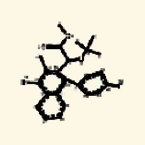 COC(=O)C(OC(C)(C)C)c1c(C)c(Br)c2ccccc2c1-c1ccc(Cl)cc1